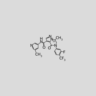 Cc1cncc(NC(=O)c2cnn3c2C(=O)N(c2ccc(C(F)(F)F)c(F)c2)C[C@@H]3C)c1